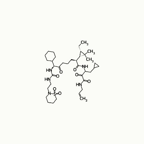 C=CCNC(=O)C(=O)C(CC1CC1)NC(=O)[C@@H](CCCC(=O)[C@@H](NC(=O)NCCN1CCCCS1(=O)=O)C1CCCCC1)[C@@H]1[C@H](CC)C1(C)C